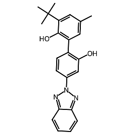 Cc1cc(-c2ccc(-n3nc4ccccc4n3)cc2O)c(O)c(C(C)(C)C)c1